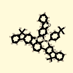 CC(C)(C)c1ccc(N2B3c4cc5oc6ccccc6c5cc4-n4c5cc6c(cc5c5ccc(c3c54)-c3cc4c(cc32)-c2ccccc2C4(C)C)-c2ccccc2C6(C)C)cc1